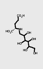 O=C(O)CC[C@H](NCC(O)C(O)C(O)C(O)CO)C(=O)O